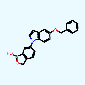 OB1OCc2ccc(-n3ccc4cc(OCc5ccccc5)ccc43)cc21